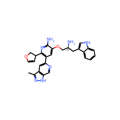 Cc1n[nH]c2cnc(-c3cc(OC[C@@H](N)Cc4c[nH]c5ccccc45)c(N)nc3C3C=COC3)cc12